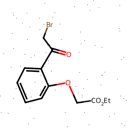 CCOC(=O)COc1ccccc1C(=O)CBr